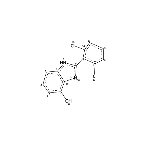 Oc1nccc2[nH]c(-c3c(Cl)cccc3Cl)nc12